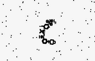 CC1C=C(S(N)(=O)=O)C=CC1[C@@H]1[C@@H](CNc2cccc(N3CCOCC3)c2)C1(C)C